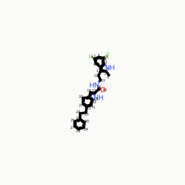 Cc1[nH]c2c(F)cc(F)cc2c1CCNC(=O)c1cc2ccc(CCc3ccccc3)cc2[nH]1